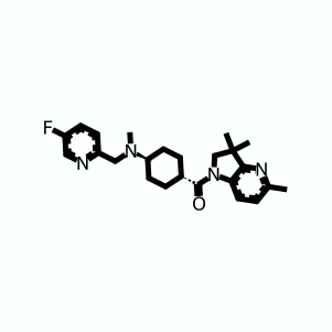 Cc1ccc2c(n1)C(C)(C)CN2C(=O)[C@H]1CC[C@H](N(C)Cc2ccc(F)cn2)CC1